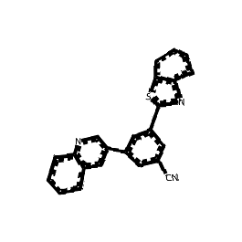 N#Cc1cc(-c2cnc3ccccc3c2)cc(-c2nc3ccccc3s2)c1